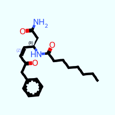 CCCCCCCC(=O)N[C@@H](/C=C\C(=O)Cc1ccccc1)CC(N)=O